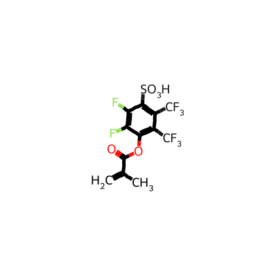 C=C(C)C(=O)Oc1c(F)c(F)c(S(=O)(=O)O)c(C(F)(F)F)c1C(F)(F)F